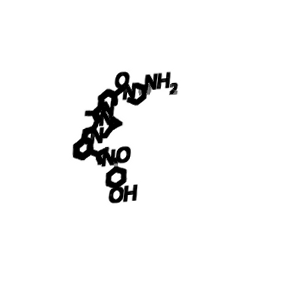 Cc1c(-c2cc3cccc(C4CN(C(=O)[C@H]5CC[C@@H](O)CC5)C4)c3n2CC2CC2)nn2cc(C(=O)N3CCC[C@@H](N)C3)ccc12